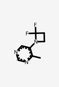 Cc1n[c]ncc1N1CCC1(F)F